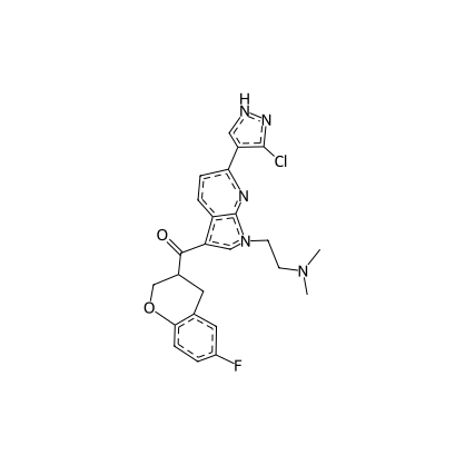 CN(C)CCn1cc(C(=O)C2COc3ccc(F)cc3C2)c2ccc(-c3c[nH]nc3Cl)nc21